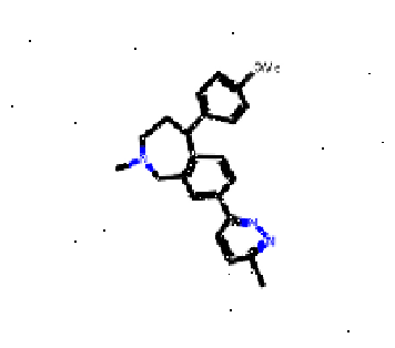 COc1ccc(C2CCN(C)Cc3cc(-c4ccc(C)nn4)ccc32)cc1